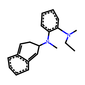 CCN(C)c1ccccc1N(C)C1C=c2ccccc2=CC1